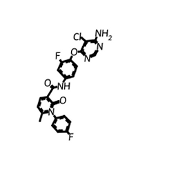 Cc1ccc(C(=O)Nc2ccc(Oc3ncnc(N)c3Cl)c(F)c2)c(=O)n1-c1ccc(F)cc1